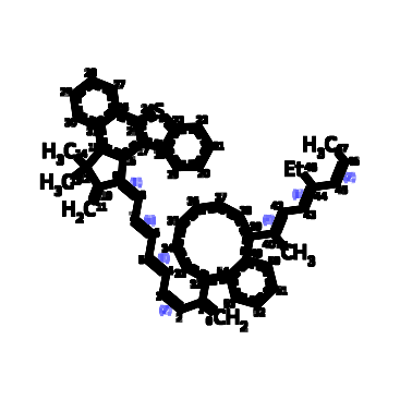 C=C(\C=C/C=C/C=C/C=C1\C(=C)C(C)(C)c2c1c1c3ccccc3sc1c1ccccc21)c1ccccccc(/C(C)=C/C=C(/C=C\C)CC)c2ccccc12